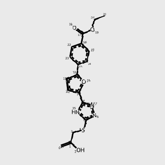 C=C(O)CSc1nnc(-c2ccc(-c3ccc(C(=O)OCC)cc3)o2)[nH]1